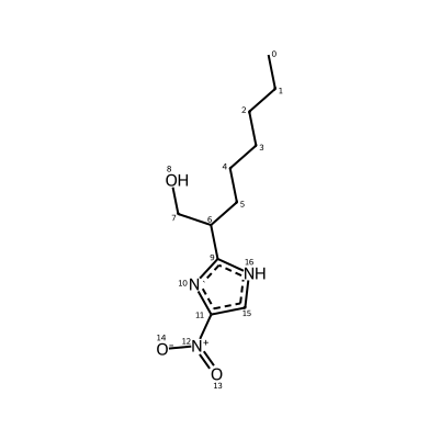 CCCCCCC(CO)c1nc([N+](=O)[O-])c[nH]1